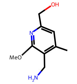 COc1nc(CO)cc(C)c1CN